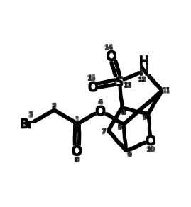 O=C(CBr)OC1C2CC3C(O2)C1NS3(=O)=O